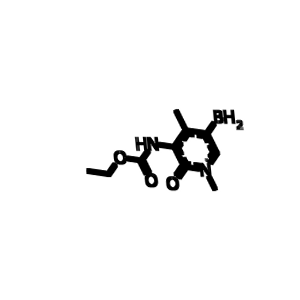 Bc1cn(C)c(=O)c(NC(=O)OCC)c1C